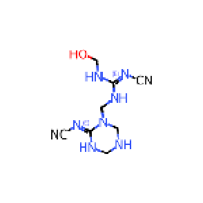 N#C/N=C(/NCO)NCN1CNCN/C1=N\C#N